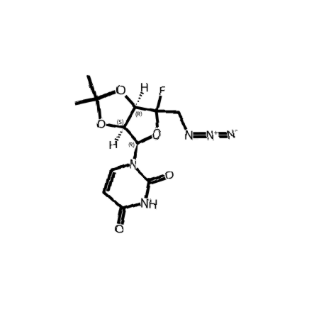 CC1(C)O[C@@H]2[C@H](n3ccc(=O)[nH]c3=O)OC(F)(CN=[N+]=[N-])[C@@H]2O1